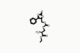 CCOC(=O)[C@@H](N)CSC(=O)OCc1oc(=O)oc1-c1ccccc1